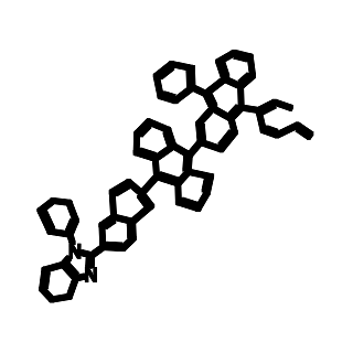 C=C/C=C\C(=C/C)c1c2ccccc2c(-c2ccccc2)c2cc(-c3c4ccccc4c(-c4ccc5cc(-c6nc7c(n6C6=CCCC=C6)C=CCC7)ccc5c4)c4ccccc34)ccc12